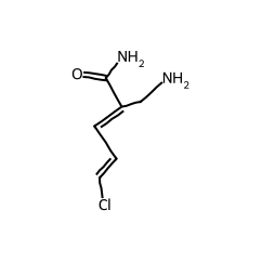 NC/C(=C\C=CCl)C(N)=O